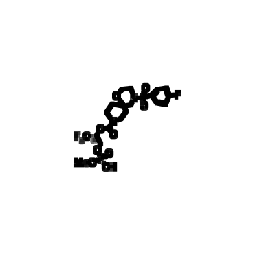 COP(=O)(O)OC[C@@H](OC(=O)N1CCC2(CC1)CN(S(=O)(=O)c1ccc(F)cc1)CCO2)C(F)(F)F